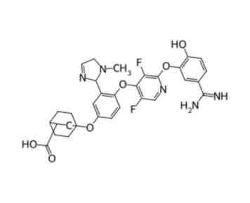 CN1CC=NC1c1cc(OC23CCC(CC2)C(C(=O)O)C3)ccc1Oc1c(F)cnc(Oc2cc(C(=N)N)ccc2O)c1F